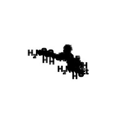 CCC(=O)NCCNC(=O)/N=C(/N)NCCC[C@@H](NC(=O)[C@H](c1ccc(OCCCNC(=O)CONC(=O)CCN)cc1)N1Cc2ccccc2C1)C(=O)NCc1c(F)cc(O)cc1F